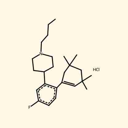 CCCCN1CCC(c2cc(F)ccc2C2=CC(C)(C)CC(C)(C)C2)CC1.Cl